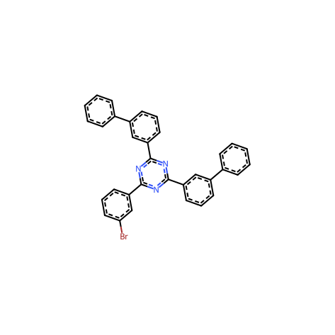 Brc1cccc(-c2nc(-c3cccc(-c4ccccc4)c3)nc(-c3cccc(-c4ccccc4)c3)n2)c1